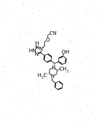 C[C@@H]1CN([C@@H](c2ccc(C3=NNNN3CCOCC#N)cc2)c2cccc(O)c2)[C@@H](C)CN1Cc1ccccc1